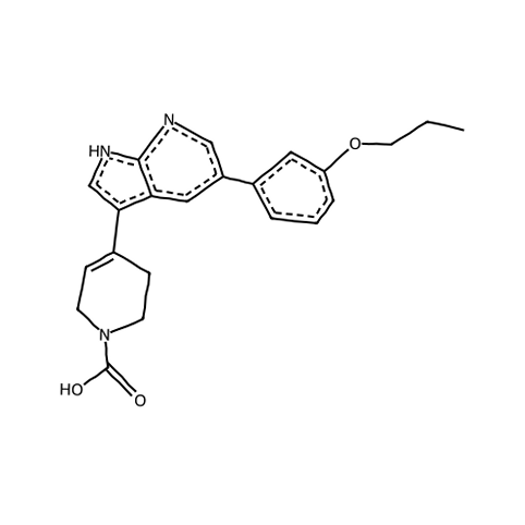 CCCOc1cccc(-c2cnc3[nH]cc(C4=CCN(C(=O)O)CC4)c3c2)c1